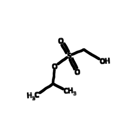 CC(C)OS(=O)(=O)CO